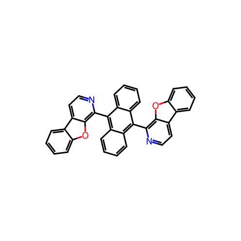 c1ccc2c(c1)oc1c(-c3c4ccccc4c(-c4nccc5c4oc4ccccc45)c4ccccc34)nccc12